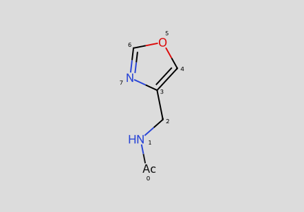 CC(=O)NCc1cocn1